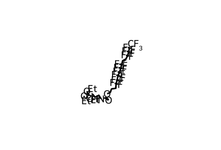 CCO[Si](CCCNC(=O)OCCCC(F)(F)C(F)(F)C(F)(F)C(F)(F)C(F)(F)C(F)(F)C=CC(F)(F)C(F)(F)C(F)(F)C(F)(F)F)(OCC)OCC